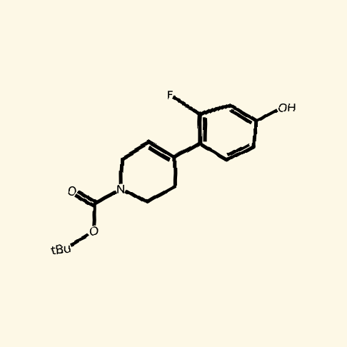 CC(C)(C)OC(=O)N1CC=C(c2ccc(O)cc2F)CC1